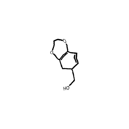 OCC1C=CC2=C(C1)OCO2